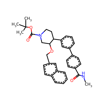 CNC(=O)c1ccc(-c2cccc(C3CCN(C(=O)OC(C)(C)C)CC3OCc3ccc4ccccc4c3)c2)cc1